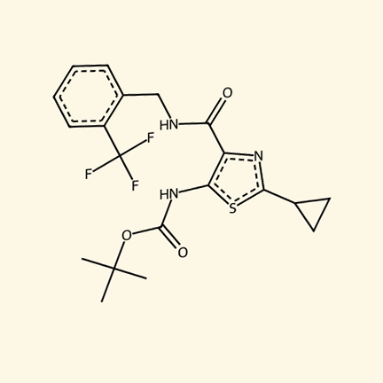 CC(C)(C)OC(=O)Nc1sc(C2CC2)nc1C(=O)NCc1ccccc1C(F)(F)F